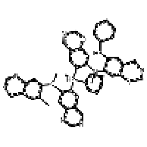 Cc1cc2cncnc2cc1N(C)c1cc2ncncc2cc1[PH](C)(c1ccccc1)c1cc2cncnc2cc1N(C)c1cc2ncncc2cc1Pc1ccccc1